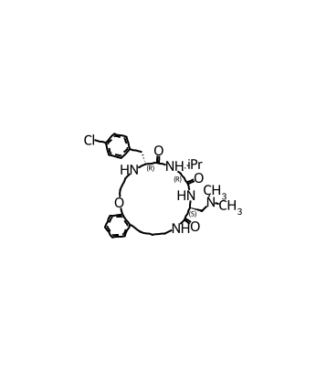 CC(C)[C@H]1NC(=O)[C@@H](Cc2ccc(Cl)cc2)NCCOc2ccccc2CCCNC(=O)[C@H](CN(C)C)NC1=O